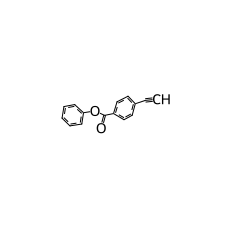 C#Cc1ccc(C(=O)Oc2ccccc2)cc1